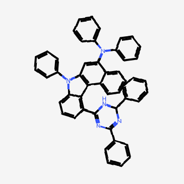 c1ccc(C2=NC(c3ccccc3)NC(c3cccc4c3c3c5ccccc5c(N(c5ccccc5)c5ccccc5)cc3n4-c3ccccc3)=N2)cc1